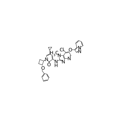 Cn1c(Nc2cc(C3CC3)cn([C@@H]3CC[C@H]3OCc3ccccc3)c2=O)nc2ncc(Oc3cnn4ccccc34)c(Cl)c21